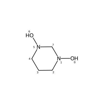 ON1CCCN(O)C1